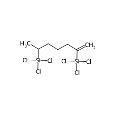 C=C(CCCC(C)[Si](Cl)(Cl)Cl)[Si](Cl)(Cl)Cl